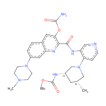 C[C@@H]1C[C@H](NC(=O)OC(C)(C)C)CN(c2ccncc2NC(=O)c2nc3cc(N4CCN(C)CC4)ccc3cc2OC(N)=O)C1